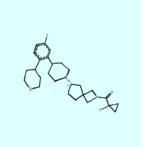 O=C(N1CC2(CC[C@H](N3CCC(c4cc(F)ccc4C4CCOCC4)CC3)C2)C1)C1(F)CC1